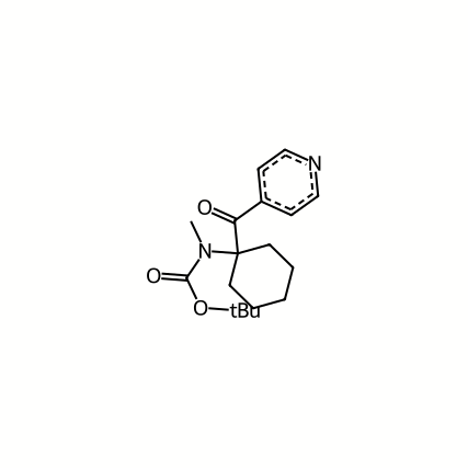 CN(C(=O)OC(C)(C)C)C1(C(=O)c2ccncc2)CCCCC1